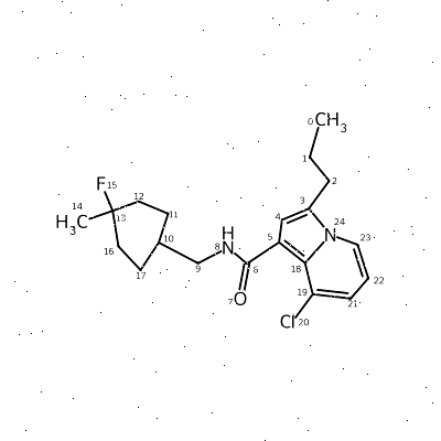 CCCc1cc(C(=O)NCC2CCC(C)(F)CC2)c2c(Cl)cccn12